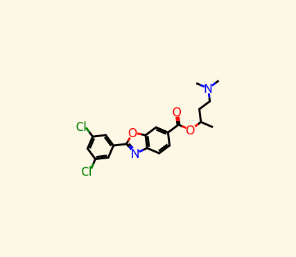 CC(CCN(C)C)OC(=O)c1ccc2nc(-c3cc(Cl)cc(Cl)c3)oc2c1